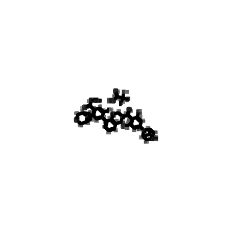 COC(=O)c1cc(F)c(-c2cccc3c2OCN(C(=O)c2c(Cl)cc(N4C5CNCC4C5)cc2Cl)C3)cc1N1C2CCC1COC2.O=C(O)C(F)(F)F